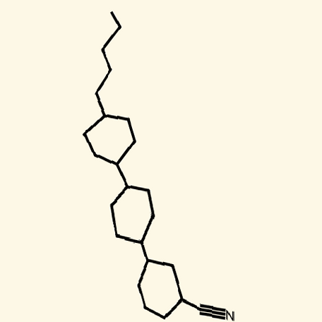 CCCCCC1CCC(C2CCC(C3CCCC(C#N)C3)CC2)CC1